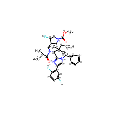 CC(=O)O[C@@H](C)C(=O)N(C[C@@H]1CN(C(=O)OC(C)(C)C)C[C@@H]1F)[C@@H](c1nc(-c2cc(F)ccc2F)cn1Cc1ccccc1)C(C)(C)CC(=O)O